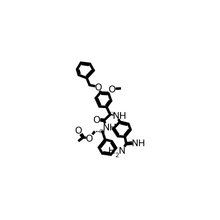 COc1cc([C@H](Nc2ccc(C(=N)N)cc2)C(=O)N[C@@H](COC(C)=O)c2ccccc2)ccc1OCc1ccccc1